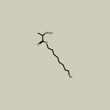 CCCCCC(C)C(=O)OCCCCCCCCC(C)C